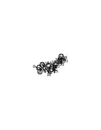 CCOC(=O)c1cn(C2CC2)c2c(OC(F)F)c(-c3ccc4c(c3)CN(C(=O)C(C)(C)C)[C@@H]4C)ccc2c1=O